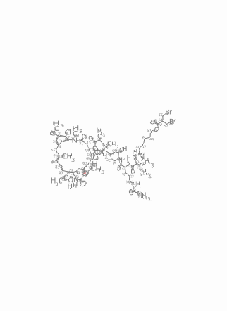 COc1cc2cc(c1Cl)N(C)C(=O)C[C@H](OC(=O)[C@H](C)N(C)C(=O)c1ccc(NC(=O)[C@H](CCCNC(N)=O)NC(=O)[C@@H](NC(=O)CCCCCOC(=O)C(CBr)CBr)C(C)C)c(O)c1)[C@]1(C)O[C@H]1[C@H](C)[C@@H]1C[C@@](O)(NC(=O)O1)[C@H](OC)/C=C/C=C(\C)C2